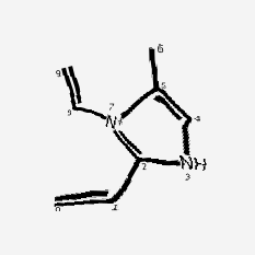 C=Cc1[nH]cc(C)[n+]1C=C